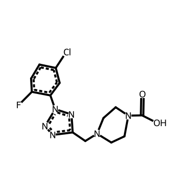 O=C(O)N1CCN(Cc2nnn(-c3cc(Cl)ccc3F)n2)CC1